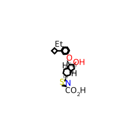 CCc1ccc(OC[C@@H]2[C@H]3CC[C@H](c4nc(C(=O)O)cs4)C[C@H]3C[C@@H]2O)cc1C1CCC1